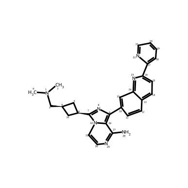 CN(C)C[C@H]1C[C@@H](c2nc(-c3ccc4ccc(-c5ccccn5)nc4c3)c3c(N)nccn32)C1